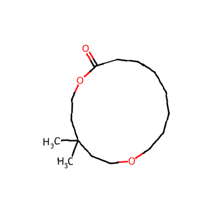 CC1(C)CCOCCCCCCCC(=O)OCC1